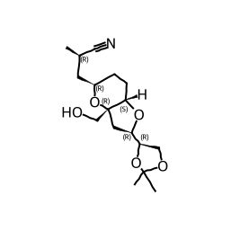 C[C@@H](C#N)C[C@H]1CC[C@@H]2O[C@@H]([C@H]3COC(C)(C)O3)C[C@]2(CO)O1